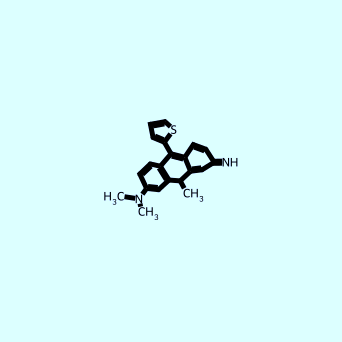 CC1C2=CC(=N)C=CC2=C(c2cccs2)c2ccc(N(C)C)cc21